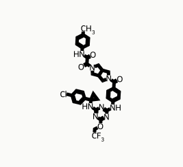 Cc1ccc(NC(=O)C(=O)N2CC3CN(C(=O)c4ccc(Nc5nc(NC6(c7ccc(Cl)cc7)CC6)nc(OCC(F)(F)F)n5)cc4)CC3C2)cc1